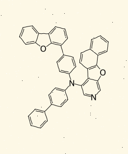 c1ccc(-c2ccc(N(c3ccc(-c4cccc5c4oc4ccccc45)cc3)c3cncc4oc5c6ccccc6ccc5c34)cc2)cc1